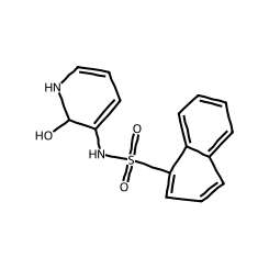 O=S(=O)(NC1=CC=CNC1O)c1cccc2ccccc12